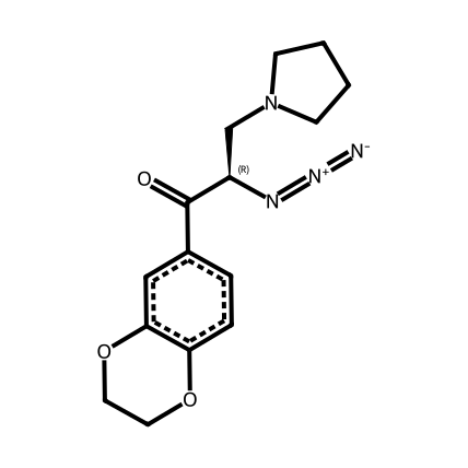 [N-]=[N+]=N[C@H](CN1CCCC1)C(=O)c1ccc2c(c1)OCCO2